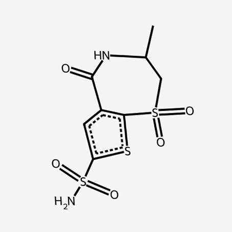 CC1CS(=O)(=O)c2sc(S(N)(=O)=O)cc2C(=O)N1